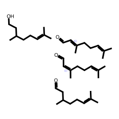 CC(C)=CCC/C(C)=C/C=O.CC(C)=CCC/C(C)=C\C=O.CC(C)=CCCC(C)CC=O.CC(C)=CCCC(C)CCO